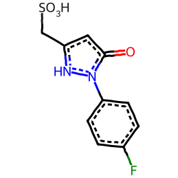 O=c1cc(CS(=O)(=O)O)[nH]n1-c1ccc(F)cc1